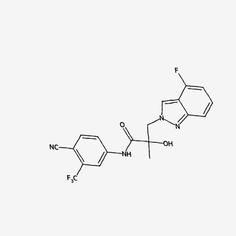 CC(O)(Cn1cc2c(F)cccc2n1)C(=O)Nc1ccc(C#N)c(C(F)(F)F)c1